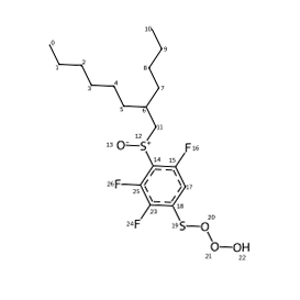 CCCCCCC(CCCC)C[S+]([O-])c1c(F)cc(SOOO)c(F)c1F